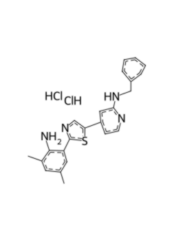 Cc1cc(C)c(N)c(-c2ncc(-c3ccnc(NCc4ccccc4)c3)s2)c1.Cl.Cl